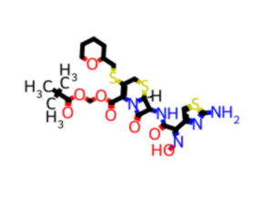 CC(C)(C)C(=O)OCOC(=O)C1=C(SCC2CCCCO2)CS[C@H]2C(NC(=O)/C(=N\O)c3csc(N)n3)C(=O)N12